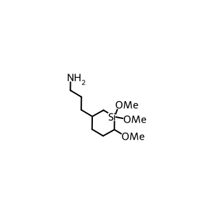 COC1CCC(CCCN)C[Si]1(OC)OC